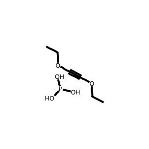 CCOC#COCC.OP(O)O